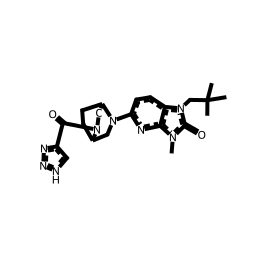 Cn1c(=O)n(CC(C)(C)C)c2ccc(N3CC4CCC3CN4C(=O)c3c[nH]nn3)nc21